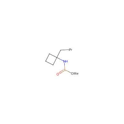 COS(=O)NC1(CC(C)C)CCC1